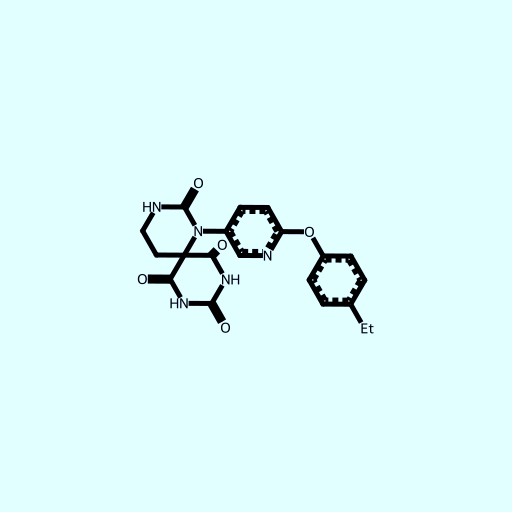 CCc1ccc(Oc2ccc(N3C(=O)NCCC34C(=O)NC(=O)NC4=O)cn2)cc1